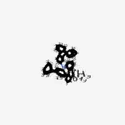 CC1(C)c2ccccc2-c2c(N(c3cccc(-c4ccccc4)c3)c3ccc4c(c3)C3(c5ccccc5-4)C4CC5CC(C4)CC3C5)cccc21